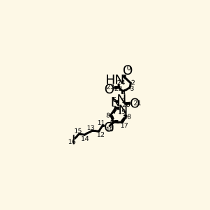 O=C1CCC(n2nc3cc(OCCCCCI)ccn3c2=O)C(=O)N1